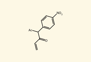 C=CC(=O)C(C(C)=O)c1ccc([N+](=O)[O-])cc1